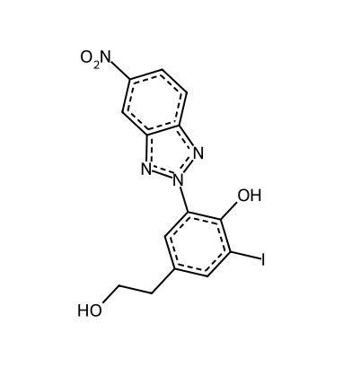 O=[N+]([O-])c1ccc2nn(-c3cc(CCO)cc(I)c3O)nc2c1